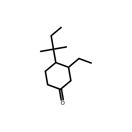 CCC1CC(=O)CCC1C(C)(C)CC